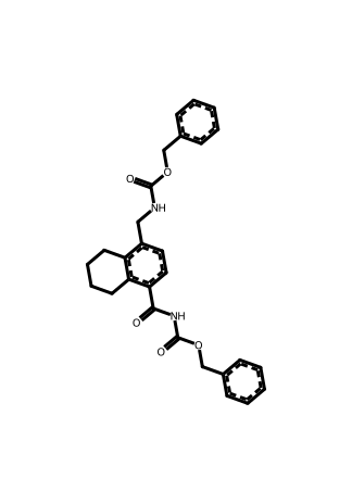 O=C(NCc1ccc(C(=O)NC(=O)OCc2ccccc2)c2c1CCCC2)OCc1ccccc1